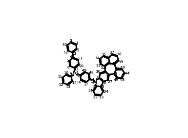 c1ccc(-c2ccc(N(c3ccccc3)c3ccc(-n4c5ccccc5c5cc6c(cc54)-c4cccc5cccc(c45)-c4ccccc4-6)cc3)cc2)cc1